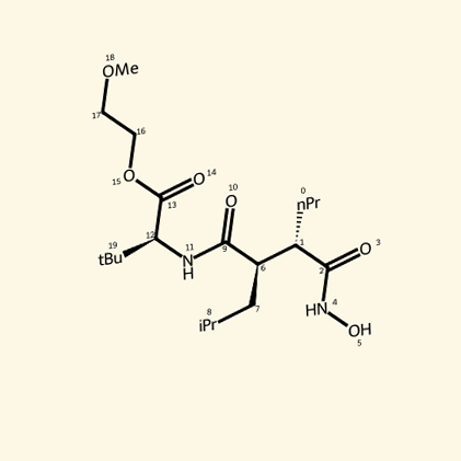 CCC[C@H](C(=O)NO)[C@@H](CC(C)C)C(=O)N[C@H](C(=O)OCCOC)C(C)(C)C